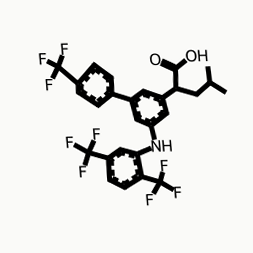 CC(C)CC(C(=O)O)c1cc(Nc2cc(C(F)(F)F)ccc2C(F)(F)F)cc(-c2ccc(C(F)(F)F)cc2)c1